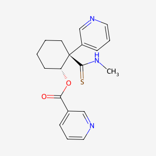 CNC(=S)[C@]1(c2cccnc2)CCCC[C@H]1OC(=O)c1cccnc1